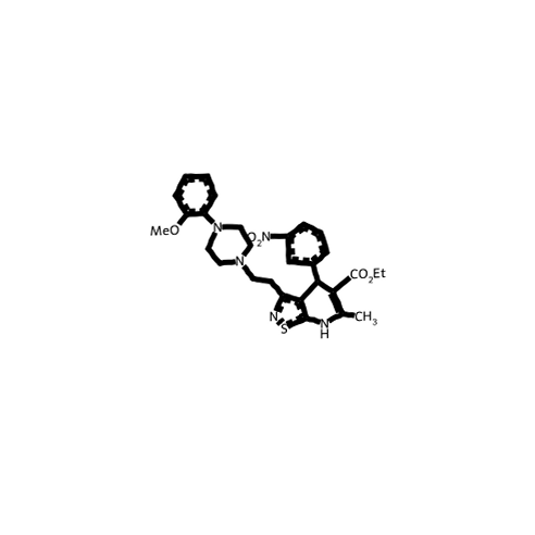 CCOC(=O)C1=C(C)Nc2snc(CCN3CCN(c4ccccc4OC)CC3)c2C1c1cccc([N+](=O)[O-])c1